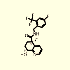 O=C(NCc1ccc(F)cc1C(F)(F)F)[C@]1(F)CC[C@@H](O)c2ncccc21